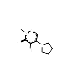 Cn1ncc(N2CCCC2)c(Cl)c1=O